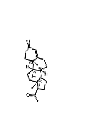 CC(=O)C1CC[C@@H]2[C@H]3CCC4=CC(=O)CC[C@@]4(C)[C@@H]3CC[C@@]12C